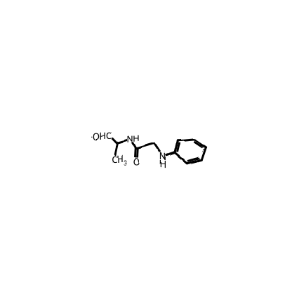 CC([C]=O)NC(=O)CNc1ccccc1